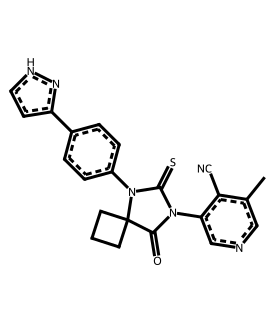 Cc1cncc(N2C(=O)C3(CCC3)N(c3ccc(-c4cc[nH]n4)cc3)C2=S)c1C#N